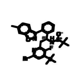 Cc1ccc2c(-c3ccccc3[C@H](Cc3nc(Br)cc([Si](C)(C)C)c3F)N[S+]([O-])C(C)(C)C)noc2c1